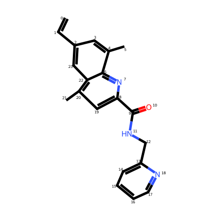 C=Cc1cc(C)c2nc(C(=O)NCc3ccccn3)cc(C)c2c1